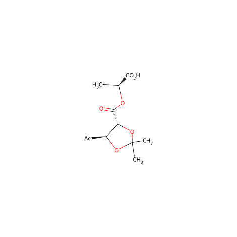 CC(=O)[C@@H]1OC(C)(C)O[C@H]1C(=O)O[C@@H](C)C(=O)O